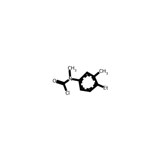 CCc1ccc(N(C)C(=O)Cl)cc1C